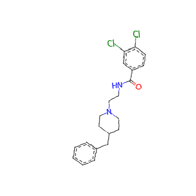 O=C(NCCN1CCC(Cc2ccccc2)CC1)c1ccc(Cl)c(Cl)c1